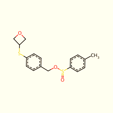 Cc1ccc(S(=O)OCc2ccc(SC3COC3)cc2)cc1